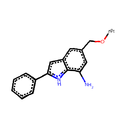 CCCOCc1cc(N)c2[nH]c(-c3ccccc3)cc2c1